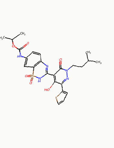 CC(C)CCn1nc(-c2cccs2)c(O)c(C2=Nc3ccc(NC(=O)OC(C)C)cc3S(=O)(=O)N2)c1=O